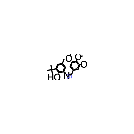 COc1cc(/C=N\c2cc(C)cc(C(C)(C)C)c2O)cc(OC)c1OC